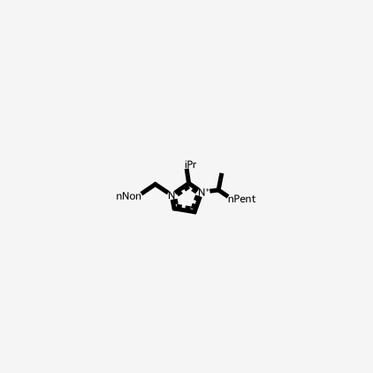 CCCCCCCCCCn1cc[n+](C(C)CCCCC)c1C(C)C